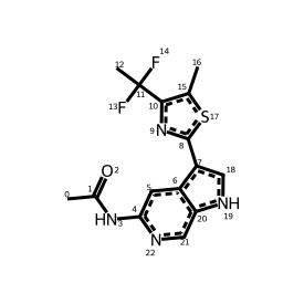 CC(=O)Nc1cc2c(-c3nc(C(C)(F)F)c(C)s3)c[nH]c2cn1